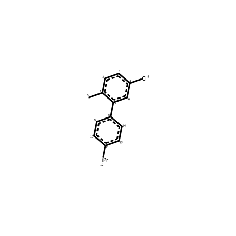 Cc1ccc(Cl)cc1-c1ccc(C(C)C)cc1